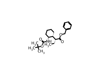 CC[C@@H](C(=O)OCc1ccccc1)[C@H]1CCCC[C@H]1NC(=O)OC(C)(C)C